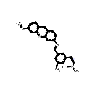 C=Nc1ccc2cc3ccc(N=Cc4cc(C)cc(/C=C\N(C)C)c4)cc3nc2c1